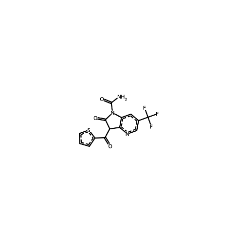 NC(=O)N1C(=O)C(C(=O)c2cccs2)c2ncc(C(F)(F)F)cc21